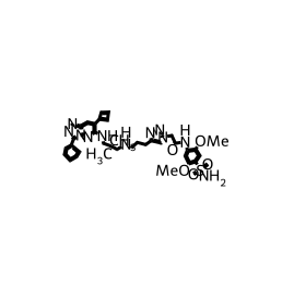 COc1cc(S(N)(=O)=O)c(OC)cc1NC(=O)Cn1cc(CCCNCC(C)(C)CNc2nn3c(-c4ccccc4)nnc3cc2C2=CC=C2)nn1